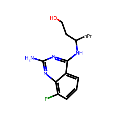 CCCC(CCO)Nc1nc(N)nc2c(F)cccc12